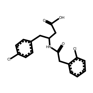 O=C(O)CC(Cc1ccc(Cl)cc1)NC(=O)Cc1ccccc1Cl